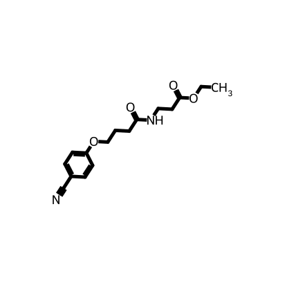 CCOC(=O)CCNC(=O)CCCOc1ccc(C#N)cc1